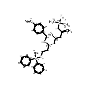 C=C(C[C@H](O)C[C@H](CCO[Si](c1ccccc1)(c1ccccc1)C(C)(C)C)OCc1ccc(OC)cc1)C[Si](C)(C)C